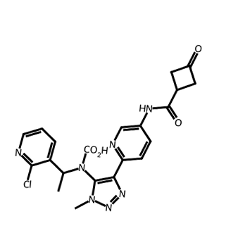 CC(c1cccnc1Cl)N(C(=O)O)c1c(-c2ccc(NC(=O)C3CC(=O)C3)cn2)nnn1C